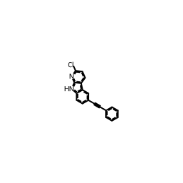 Clc1ccc2c(n1)[nH]c1ccc(C#Cc3ccccc3)cc12